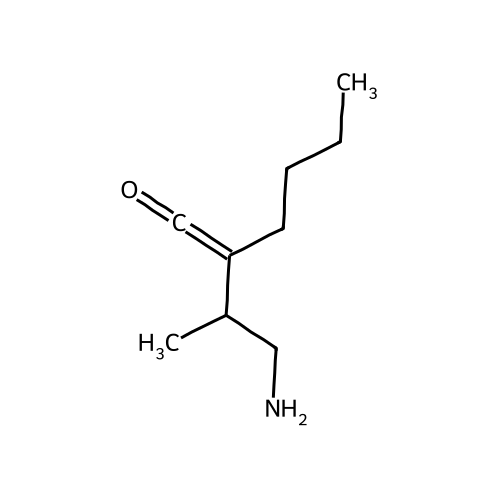 CCCCC(=C=O)C(C)CN